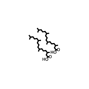 CC(C)CCCC(C)CCCC(C)CCCC(C)CC(=O)O.CC(C)CCCC(C)CCCC(C)CCCC(C)CC(=O)O